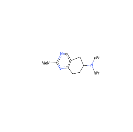 CCCN(CCC)C1CCc2nc(NC)ncc2C1